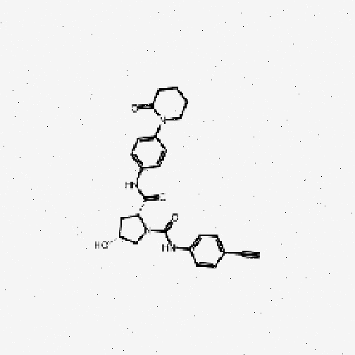 C#Cc1ccc(NC(=O)N2C[C@H](O)C[C@@H]2C(=O)Nc2ccc(N3CCCCC3=O)cc2)cc1